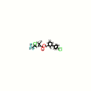 Cc1c(COC(=O)[C@@H]2[C@H](/C=C(\Cl)C(F)(F)F)C2(C)C)cccc1-c1ccc(Cl)cc1